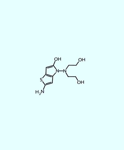 Nc1cc2c(cc(O)n2N(CCO)CCO)s1